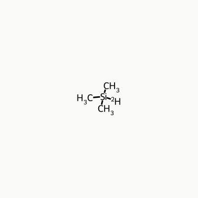 [2H][Si](C)(C)C